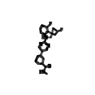 CNC(=O)c1cccc(-c2cnc(NCC3(c4ncccc4F)CC(F)C3)nc2)c1